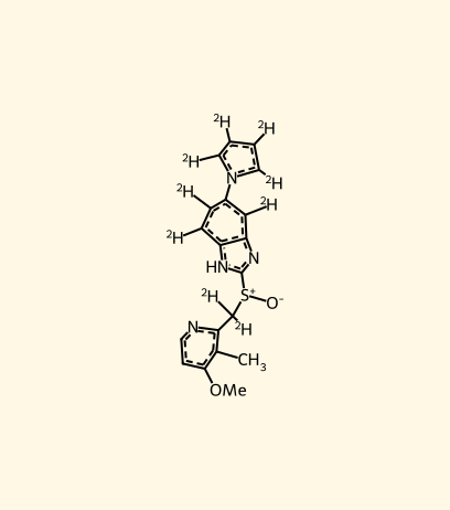 [2H]c1c(-n2c([2H])c([2H])c([2H])c2[2H])c([2H])c2nc([S+]([O-])C([2H])([2H])c3nccc(OC)c3C)[nH]c2c1[2H]